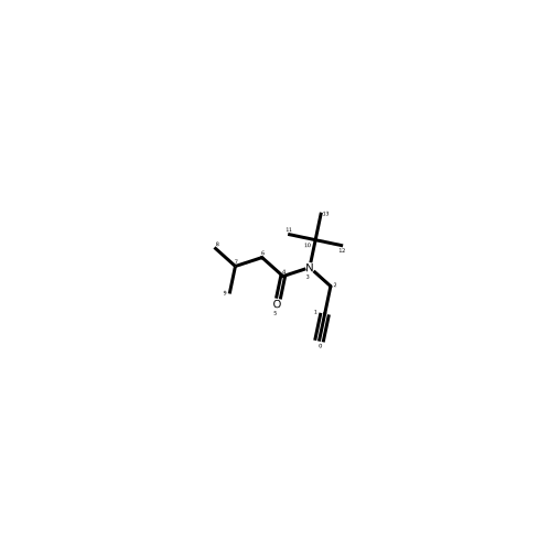 C#CCN(C(=O)CC(C)C)C(C)(C)C